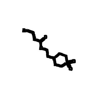 O=C(CCBr)OCCN1CCS(=O)(=O)CC1